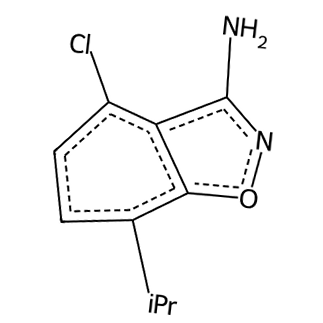 CC(C)c1ccc(Cl)c2c(N)noc12